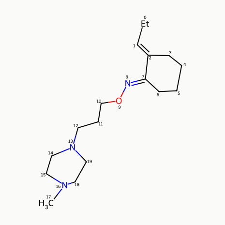 CCC=C1CCCCC1=NOCCCN1CCN(C)CC1